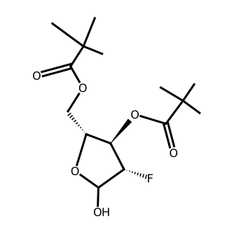 CC(C)(C)C(=O)OC[C@H]1OC(O)[C@@H](F)[C@@H]1OC(=O)C(C)(C)C